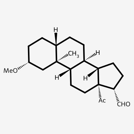 CO[C@@H]1CC[C@@H]2CC[C@@H]3[C@H](CC[C@]4(C(C)=O)[C@@H](C=O)CC[C@@H]34)[C@@]2(C)C1